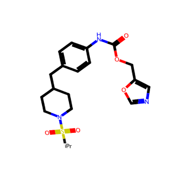 CC(C)S(=O)(=O)N1CCC(Cc2ccc(NC(=O)OCc3cnco3)cc2)CC1